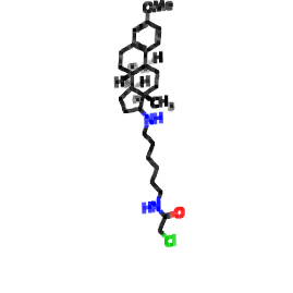 COc1ccc2c(c1)CC[C@@H]1[C@@H]2CC[C@]2(C)C(NCCCCCCNC(=O)CCl)CC[C@@H]12